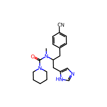 CN(C(=O)N1CCCCC1)C(Cc1ccc(C#N)cc1)Cc1cnc[nH]1